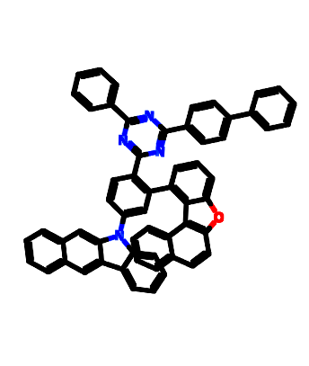 c1ccc(-c2ccc(-c3nc(-c4ccccc4)nc(-c4ccc(-n5c6ccccc6c6cc7ccccc7cc65)cc4-c4cccc5oc6ccc7ccccc7c6c45)n3)cc2)cc1